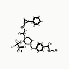 O=C(NO)c1ccc(CN2CCN(C(=O)CNC3CC3c3ccccc3)CC2)cc1.O=C(O)C(F)(F)F